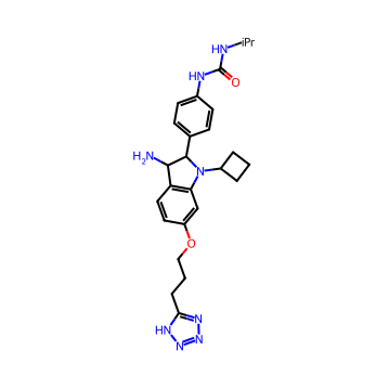 CC(C)NC(=O)Nc1ccc(C2C(N)c3ccc(OCCCc4nnn[nH]4)cc3N2C2CCC2)cc1